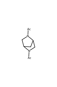 CC(=O)N1CC2CC1CN2C(C)=O